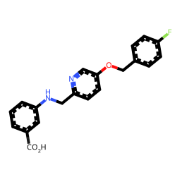 O=C(O)c1cccc(NCc2ccc(OCc3ccc(F)cc3)cn2)c1